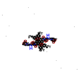 CC(C)c1ccc(Oc2cc3c4c(cc(Oc5ccc(C(C)C)cc5)c5c6c(Oc7ccc(C(C)C)cc7)cc7c8c(cc(Oc9ccc(C(C)C)cc9)c(c2c45)c86)C(=O)N(CC(=O)NCCN(CC2CO2)CC2CO2)C7=O)C(=O)N(CC(=O)NCCN(CC2CO2)CC2CO2)C3=O)cc1